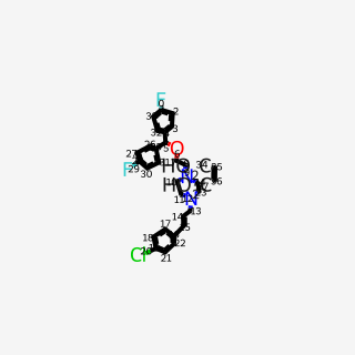 Fc1ccc(C(OCCN2CCN(C/C=C/c3ccc(Cl)cc3)CC2)c2ccc(F)cc2)cc1.O=C(O)/C=C\C(=O)O